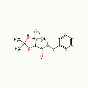 CC1(C)OC(C(=O)OCc2ccccc2)C(C)(C)O1